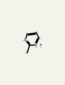 Cc1ncccn1.[P]